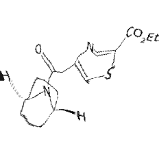 CCOC(=O)c1nc(C(=O)N2[C@H]3CC[C@H]2CC3)cs1